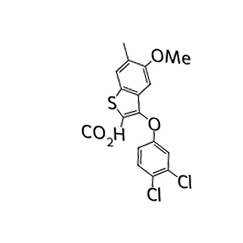 COc1cc2c(Oc3ccc(Cl)c(Cl)c3)c(C(=O)O)sc2cc1C